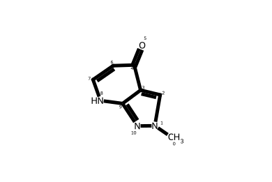 Cn1cc2c(=O)cc[nH]c2n1